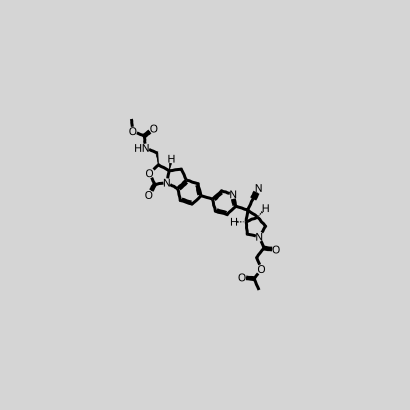 COC(=O)NC[C@@H]1OC(=O)N2c3ccc(-c4ccc(C5(C#N)[C@@H]6CN(C(=O)COC(C)=O)C[C@@H]65)nc4)cc3C[C@@H]12